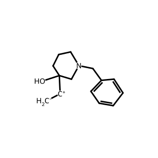 [CH2-][CH+]C1(O)CCCN(Cc2ccccc2)C1